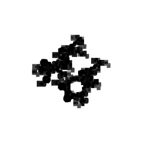 N=C(N)NCCCC(NC(=O)C1CCCN1C(=O)C(CS)NC(=O)C(CC(N)=O)NC(=O)C(CCC(N)=O)NC(=O)C(Cc1ccccc1)NC(=O)C(Cc1ccc(O)cc1)NC(=O)C(N)CS)C(=O)NCC(N)=O.N=C(N)NCCC[C@H](NC(=O)[C@@H]1CCCN1C(=O)[C@@H]1CSSC[C@H](N)C(=O)N[C@@H](Cc2ccc(O)cc2)C(=O)N[C@@H](Cc2ccccc2)C(=O)N[C@@H](CCC(N)=O)C(=O)N[C@@H](CC(N)=O)C(=O)N1)C(=O)NCC(N)=O